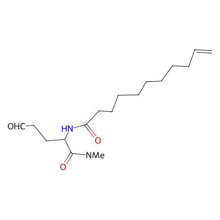 C=CCCCCCCCCC(=O)NC(CCC=O)C(=O)NC